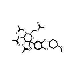 COC1(c2ccc(Cl)c(O[C@H]3CC[C@H](OC)CC3)c2)O[C@H](COC(C)=O)[C@@H](OC(C)=O)[C@H](OC(C)=O)[C@H]1OC(C)=O